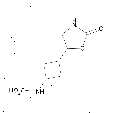 O=C(O)NC1CC(C2CNC(=O)O2)C1